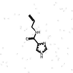 C=CCNC(=O)c1c[nH][c]n1